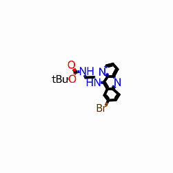 CC(C)(C)OC(=O)NCCNc1c2cc(Br)ccc2nc2cccnc12